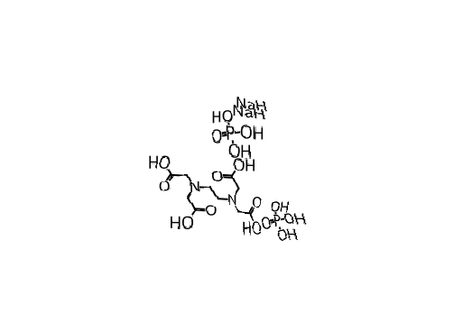 O=C(O)CN(CCN(CC(=O)O)CC(=O)O)CC(=O)O.O=P(O)(O)O.O=P(O)(O)O.[NaH].[NaH]